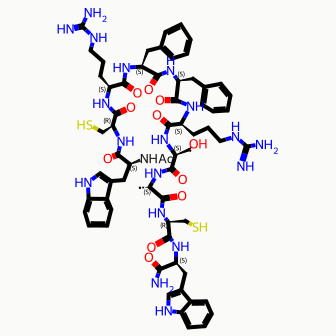 CC(=O)N[C@@H](Cc1c[nH]c2ccccc12)C(=O)N[C@@H](CS)C(=O)N[C@@H](CCCNC(=N)N)C(=O)N[C@@H](Cc1ccccc1)C(=O)N[C@@H](Cc1ccccc1)C(=O)N[C@@H](CCCNC(=N)N)C(=O)N[C@@H](CO)C(=O)N[C@@H](C)C(=O)N[C@@H](CS)C(=O)N[C@@H](Cc1c[nH]c2ccccc12)C(N)=O